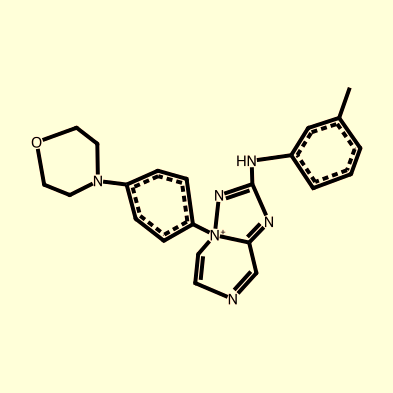 Cc1cccc(NC2=N[N+]3(c4ccc(N5CCOCC5)cc4)C=CN=CC3=N2)c1